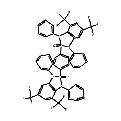 O=P1(c2ccc(P3(=O)N(c4ccccc4)c4cc(C(F)(F)F)cc(C(F)(F)F)c4N3c3ccccc3)cc2)N(c2ccccc2)c2cc(C(F)(F)F)cc(C(F)(F)F)c2N1c1ccccc1